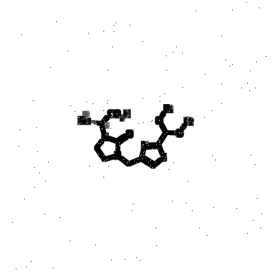 CCOC(OCC)c1nc(CN2CCN([C@H](C(=O)O)[C@@H](C)CC)C2=O)cs1